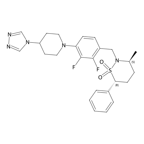 C[C@H]1CC[C@H](c2ccccc2)S(=O)(=O)N1Cc1ccc(N2CCC(n3cnnc3)CC2)c(F)c1F